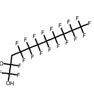 OC(F)(F)C(O)(F)CC(F)(F)C(F)(F)C(F)(F)C(F)(F)C(F)(F)C(F)(F)C(F)(F)C(F)(F)F